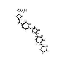 O=C(O)C1CN(Cc2ccc(-c3ncc(-c4ccc(C5CCCC5)cc4)s3)cc2)C1